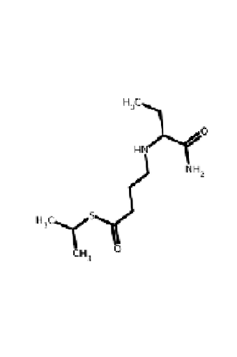 CC[C@H](NCCCC(=O)SC(C)C)C(N)=O